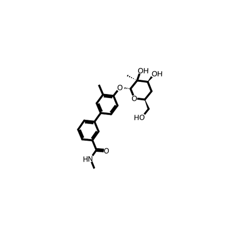 CNC(=O)c1cccc(-c2ccc(O[C@H]3O[C@H](CO)C[C@H](O)[C@]3(C)O)c(C)c2)c1